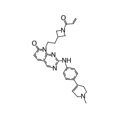 C=CC(=O)N1CC(CCn2c(=O)ccc3cnc(Nc4ccc(C5=CCN(C)CC5)cc4)nc32)C1